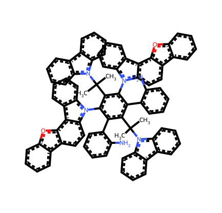 CC(C)(c1c(-c2ccccc2N)c(-n2c3ccccc3c3c4oc5ccccc5c4ccc32)c(C(C)(C)n2c3ccccc3c3ccccc32)c(-n2c3ccccc3c3c4oc5ccccc5c4ccc32)c1-c1ccccc1N)n1c2ccccc2c2ccccc21